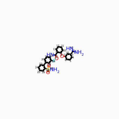 N=C(N)c1cccc(Oc2ccccc2C(=O)Nc2ccc(-c3ccccc3S(N)(=O)=O)cc2F)c1